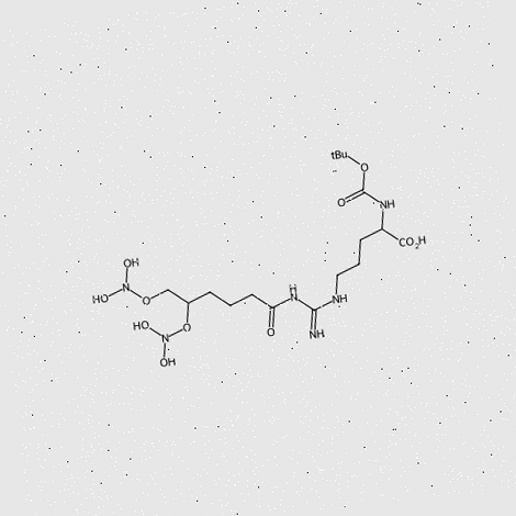 CC(C)(C)OC(=O)NC(CCCNC(=N)NC(=O)CCCC(CON(O)O)ON(O)O)C(=O)O